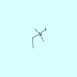 CC[Si](C)(C)I